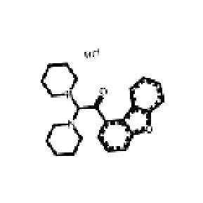 Cl.O=C(c1cccc2oc3ccccc3c12)C(N1CCCCC1)N1CCCCC1